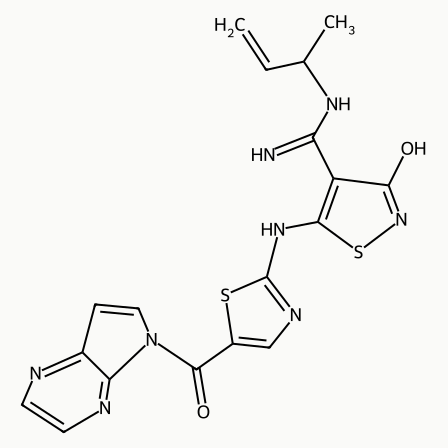 C=CC(C)NC(=N)c1c(O)nsc1Nc1ncc(C(=O)n2ccc3nccnc32)s1